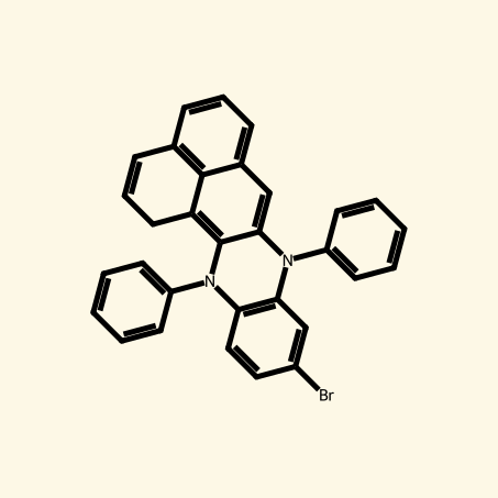 Brc1ccc2c(c1)N(c1ccccc1)c1cc3cccc4c3c(c1N2c1ccccc1)CC=C4